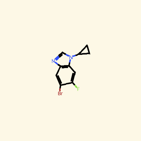 Fc1cc2c(cc1Br)ncn2C1CC1